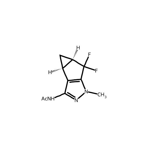 CC(=O)Nc1nn(C)c2c1[C@H]1C[C@H]1C2(F)F